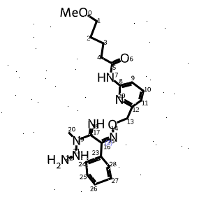 COCCCCC(=O)Nc1cccc(CO/N=C(\C(=N)N(C)NN)c2ccccc2)n1